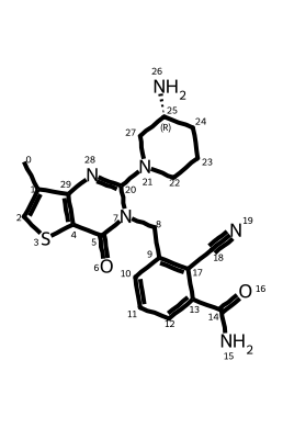 Cc1csc2c(=O)n(Cc3cccc(C(N)=O)c3C#N)c(N3CCC[C@@H](N)C3)nc12